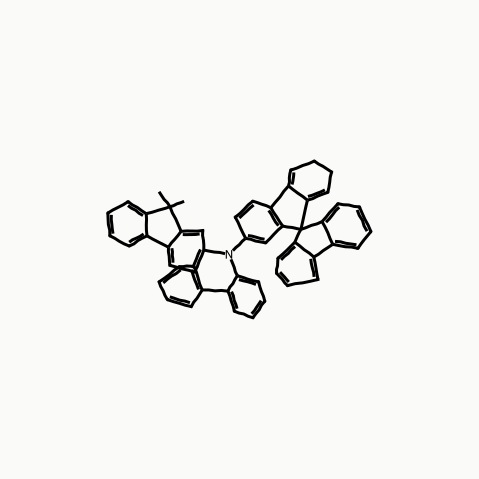 CC1(C)c2ccccc2-c2ccc(N(c3ccc4c(c3)C3(C5=CCCC=C54)c4ccccc4-c4ccccc43)c3ccccc3-c3ccccc3)cc21